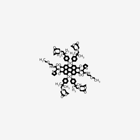 CCOCCNC(=O)C(c1cccs1)N1C(=O)c2cc(Oc3ccc(C(C)(C)CN(CC4CO4)CC4CO4)cc3)c3c4c(Oc5ccc(C(C)(C)CN(CC6CO6)CC6CO6)cc5)cc5c6c(cc(Oc7ccc(C(C)(C)CN(CC8CO8)CC8CO8)cc7)c(c7c(Oc8ccc(C(C)(C)CN(CC9CO9)CC9CO9)cc8)cc(c2c37)C1=O)c64)C(=O)N(C(C(=O)NCCOCC)c1cccs1)C5=O